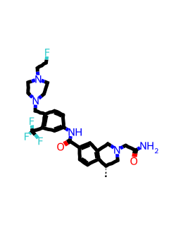 C[C@H]1CN(CC(N)=O)Cc2cc(C(=O)Nc3ccc(CN4CCN(CCF)CC4)c(C(F)(F)F)c3)ccc21